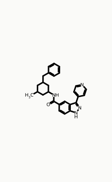 CC1CC(Cc2ccccc2)CC(NC(=O)c2ccc3[nH]nc(-c4ccncc4)c3c2)C1